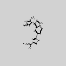 COC(=O)c1coc(-c2ccn3ncc(-c4cn(C)nc4C(F)(F)F)c3c2)c1